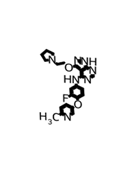 Cc1ccc(Oc2ccc(Nc3ncnc4[nH]nc(OCCN5CCCC5)c34)cc2F)cn1